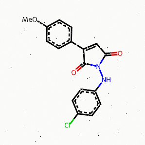 COc1ccc(C2=CC(=O)N(Nc3ccc(Cl)cc3)C2=O)cc1